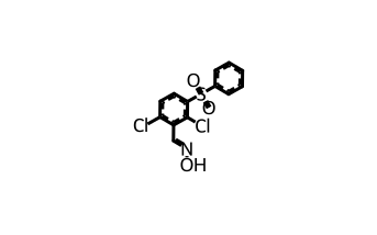 O=S(=O)(c1ccccc1)c1ccc(Cl)c(C=NO)c1Cl